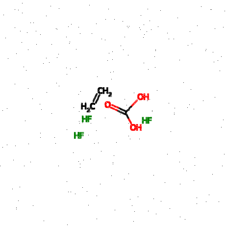 C=C.F.F.F.O=C(O)O